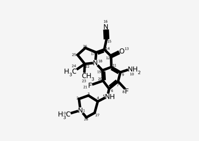 CN1CCC(Nc2c(F)c(N)c3c(=O)c(C#N)c4n(c3c2F)C(C)(C)CC4)CC1